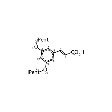 CCCC(C)Oc1cc(C=CC(=O)O)cc(OC(C)CCC)c1